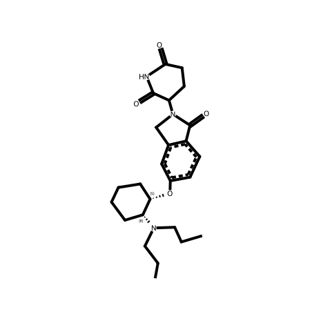 CCCN(CCC)[C@@H]1CCCC[C@@H]1Oc1ccc2c(c1)CN(C1CCC(=O)NC1=O)C2=O